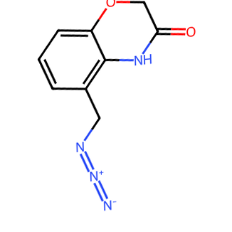 [N-]=[N+]=NCc1cccc2c1NC(=O)CO2